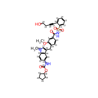 COc1cc(C(=O)NS(=O)(=O)c2ccccc2C#CCCO)ccc1Cc1cn(C)c2ccc(NC(=O)OC3CCCC3)cc12